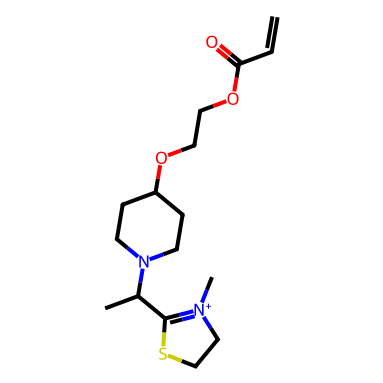 C=CC(=O)OCCOC1CCN(C(C)C2=[N+](C)CCS2)CC1